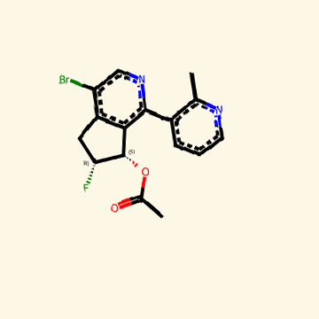 CC(=O)O[C@H]1c2c(-c3cccnc3C)ncc(Br)c2C[C@H]1F